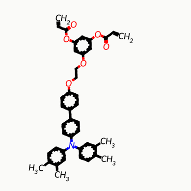 C=CC(=O)Oc1cc(OCCOc2ccc(-c3ccc(N(c4ccc(C)c(C)c4)c4ccc(C)c(C)c4)cc3)cc2)cc(OC(=O)C=C)c1